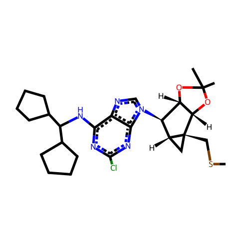 CSC[C@@]12C[C@@H]1[C@@H](n1cnc3c(NC(C4CCCC4)C4CCCC4)nc(Cl)nc31)[C@@H]1OC(C)(C)O[C@@H]12